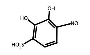 O=Nc1ccc(S(=O)(=O)O)c(O)c1O